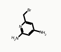 Nc1cc(N)nc(CBr)c1